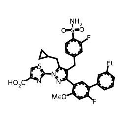 CCc1cccc(-c2cc(-c3nn(-c4nc(C(=O)O)cs4)c(CC4CC4)c3Cc3ccc(S(N)(=O)=O)c(F)c3)c(OC)cc2F)c1